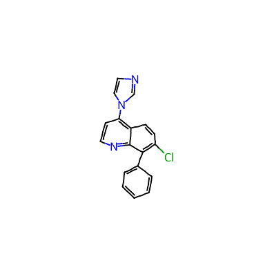 Clc1ccc2c(-n3ccnc3)ccnc2c1-c1ccccc1